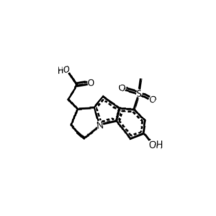 CS(=O)(=O)c1cc(O)cc2c1cc1n2CCC1CC(=O)O